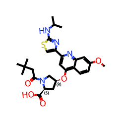 COc1ccc2c(O[C@@H]3C[C@@H](C(=O)O)N(C(=O)CC(C)(C)C)C3)cc(-c3csc(NC(C)C)n3)nc2c1